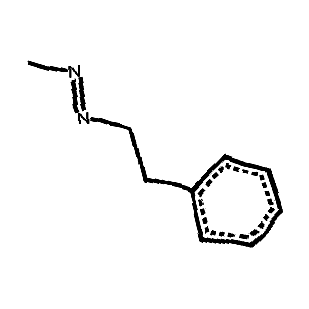 C/N=N/CCc1ccccc1